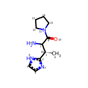 C[C@H](c1ncc[nH]1)C(N)C(=O)N1CCCC1